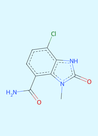 Cn1c(=O)[nH]c2c(Cl)ccc(C(N)=O)c21